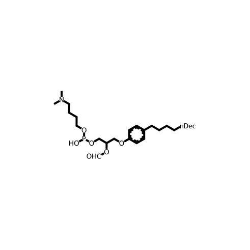 CCCCCCCCCCCCCCc1ccc(OCC(COP(O)OCCCCN(C)C)OC=O)cc1